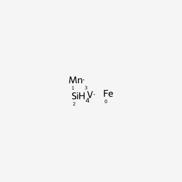 [Fe].[Mn].[SiH4].[V]